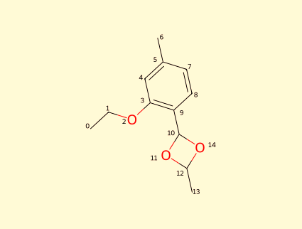 CCOc1cc(C)ccc1C1OC(C)O1